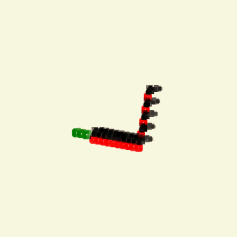 [Cl-].[Cl-].[Cl-].[O]=[Zr+2].[O]=[Zr+2].[O]=[Zr+2].[O]=[Zr+2].[O]=[Zr+2].[O]=[Zr+2].[O]=[Zr+2].[O]=[Zr+2].[O]=[Zr+2].[O]=[Zr+2].[O]=[Zr+2].[O]=[Zr+2].[O]=[Zr+2].[O]=[Zr+2]